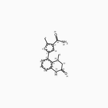 Cc1sc(-c2ncnc3c2N(C)CC(=O)N3)cc1C(N)=O